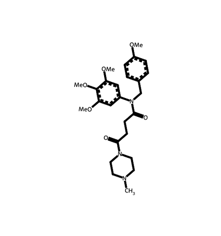 COc1ccc(CN(C(=O)CCC(=O)N2CCN(C)CC2)c2cc(OC)c(OC)c(OC)c2)cc1